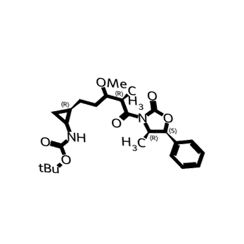 COC(CC[C@@H]1CC1NC(=O)OC(C)(C)C)[C@@H](C)C(=O)N1C(=O)O[C@@H](c2ccccc2)[C@H]1C